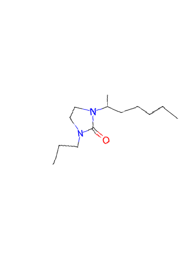 CCCCCC(C)N1CCN(CCC)C1=O